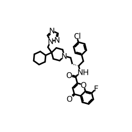 O=C(N[C@H](CCN1CCC(Cn2cncn2)(C2CCCCC2)CC1)Cc1ccc(Cl)cc1)c1cc(=O)c2cccc(F)c2o1